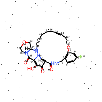 O=C1NCc2ccc(F)cc2OCC/C=C\CCCCCN2[C@H]3COCCN3C(=O)c3c(O)c(=O)c1cn32